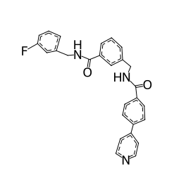 O=C(NCc1cccc(C(=O)NCc2cccc(F)c2)c1)c1ccc(-c2ccncc2)cc1